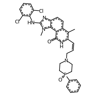 Cc1c(/C=C\CN2CCP(=O)(c3ccccc3)CC2)[nH]c(=O)c2c1ccc1nc(Nc3c(Cl)cccc3Cl)n(C)c12